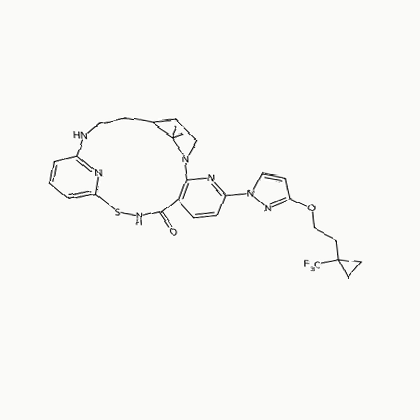 CC1(C)C2CCNc3cccc(n3)SNC(=O)c3ccc(-n4ccc(OCCC5(C(F)(F)F)CC5)n4)nc3N1CC2